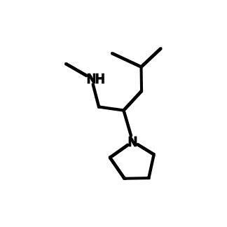 CNCC(CC(C)C)N1CCCC1